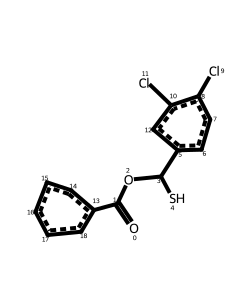 O=C(OC(S)c1ccc(Cl)c(Cl)c1)c1ccccc1